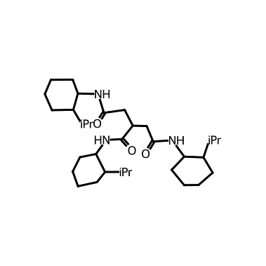 CC(C)C1CCCCC1NC(=O)CC(CC(=O)NC1CCCCC1C(C)C)C(=O)NC1CCCCC1C(C)C